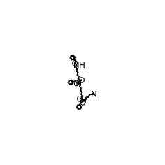 N#CCCCCN(OCc1ccccc1)C(=O)CCCCCCCN(OCc1ccccc1)C(=O)CCCCCCCNOCc1ccccc1